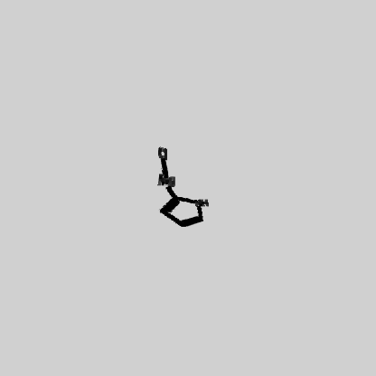 [Cl][Mg][c]1ccc[nH]1